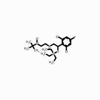 CC[Si](CC)(CC)OC(CNCC[S+]([O-])C(C)(C)C)c1c(Cl)cc(F)cc1Cl